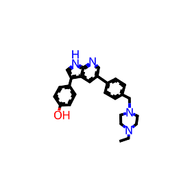 CCN1CCN(Cc2ccc(-c3cnc4[nH]cc(-c5ccc(O)cc5)c4c3)cc2)CC1